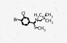 CS/C(=N\C[Si](C)(C)C)c1ccc(Br)c(Cl)c1